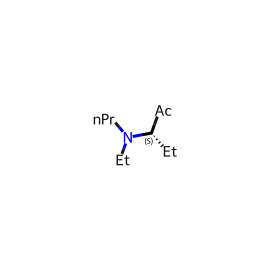 CCCN(CC)[C@@H](CC)C(C)=O